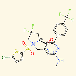 CNc1cc(C[N+]2(S(=O)(=O)c3ccc(Cl)s3)CC(F)(F)C[C@H]2C(N)=O)cc(-c2ccc(C(F)(F)F)cc2)n1